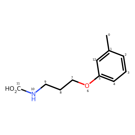 Cc1cccc(OCCCNC(=O)O)c1